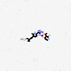 Cc1nc(-c2nnn(C)c2NC(=O)OC(C)c2cccnc2Cl)ccc1C#CC1(CC(=O)O)CC1